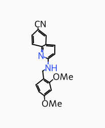 COc1ccc(CNc2ccc3cc(C#N)ccc3n2)c(OC)c1